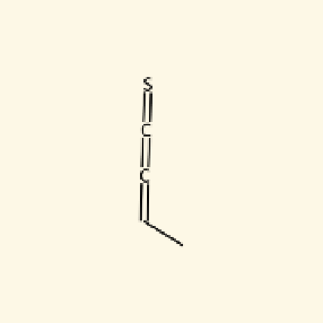 CC=C=C=S